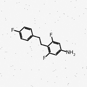 Nc1cc(F)c(CCc2ccc(F)cc2)c(F)c1